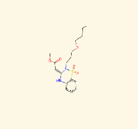 CCCCOCCCN1/C(=C\C(=O)OC)Nc2ccccc2S1(=O)=O